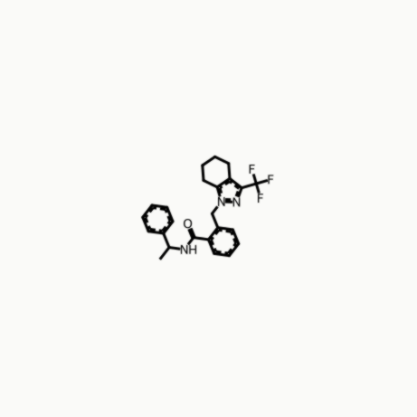 CC(NC(=O)c1ccccc1Cn1nc(C(F)(F)F)c2c1CCCC2)c1ccccc1